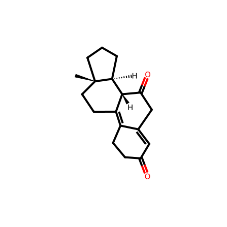 C[C@@]12CCC[C@H]1[C@@H]1C(=O)CC3=CC(=O)CCC3=C1CC2